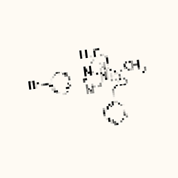 CC[C@@H]([C@H](C)OCc1ccccc1)n1cnc(-c2ccc(Br)cc2)n1